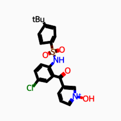 CC(C)(C)c1ccc(S(=O)(=O)Nc2ccc(Cl)cc2C(=O)c2ccc[n+](O)c2)cc1